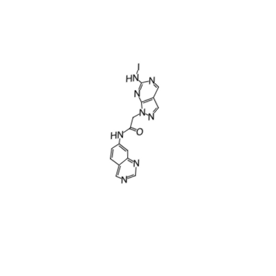 O=C(Cn1ncc2cnc(NI)nc21)Nc1ccc2cncnc2c1